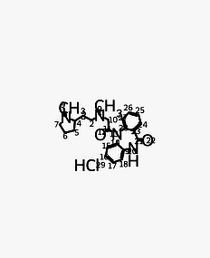 CN(CCC1CCCN1C)CC(=O)N1c2ccccc2NC(=O)c2ccccc21.Cl